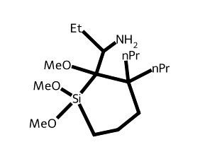 CCCC1(CCC)CCC[Si](OC)(OC)C1(OC)C(N)CC